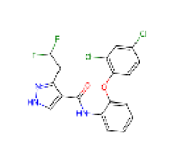 O=C(Nc1ccccc1Oc1ccc(Cl)cc1Cl)c1c[nH]nc1CC(F)F